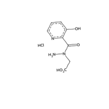 Cl.NN(CC(=O)O)C(=O)c1ncccc1O